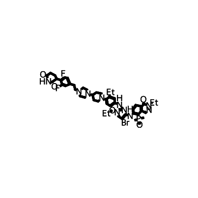 CCOc1cc(N2CCC(N3CCN(CCc4cc(F)c(C5CCC(=O)NC5=O)c(F)c4)CC3)CC2)c(CC)cc1Nc1ncc(Br)c(Nc2ccc3c(=O)n(CC)ncc3c2P(C)(C)=O)n1